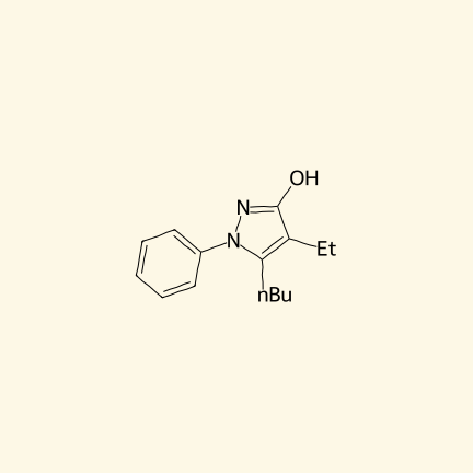 CCCCc1c(CC)c(O)nn1-c1ccccc1